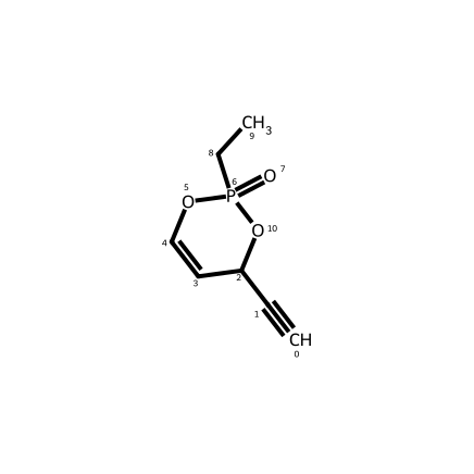 C#CC1C=COP(=O)(CC)O1